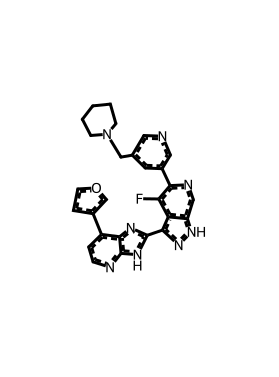 Fc1c(-c2cncc(CN3CCCCC3)c2)ncc2[nH]nc(-c3nc4c(-c5ccoc5)ccnc4[nH]3)c12